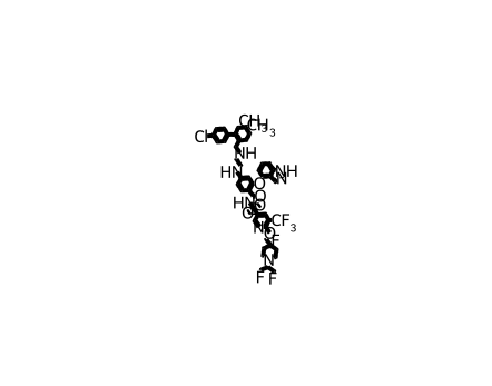 CC1(C)CCC(CNCCNc2ccc(C(=O)NS(=O)(=O)c3cnc(OCC4(F)CCN(C(CF)CF)CC4)c(C(F)(F)F)c3)c(Oc3cccc4[nH]ncc34)c2)=C(c2ccc(Cl)cc2)C1